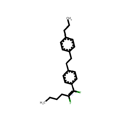 CCCC/C(F)=C(/F)c1ccc(CCc2ccc(CCC)cc2)cc1